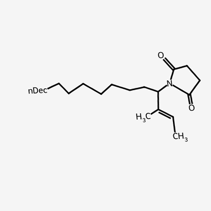 CC=C(C)C(CCCCCCCCCCCCCCCCC)N1C(=O)CCC1=O